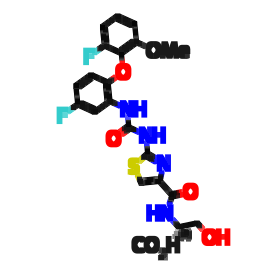 COc1cccc(F)c1Oc1ccc(F)cc1NC(=O)Nc1nc(C(=O)N[C@H](CO)C(=O)O)cs1